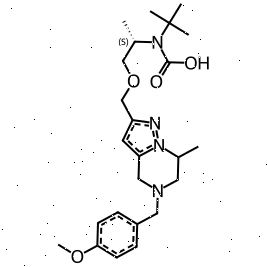 COc1ccc(CN2Cc3cc(COC[C@H](C)N(C(=O)O)C(C)(C)C)nn3C(C)C2)cc1